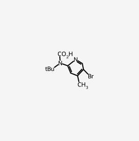 Cc1cc(N(C(=O)O)C(C)(C)C)ncc1Br